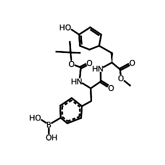 COC(=O)[C@H](CC1C=CC(O)=CC1)NC(=O)C(Cc1ccc(B(O)O)cc1)NC(=O)OC(C)(C)C